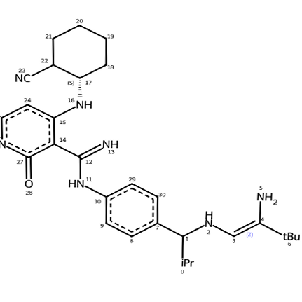 CC(C)C(N/C=C(\N)C(C)(C)C)c1ccc(NC(=N)c2c(N[C@H]3CCCCC3C#N)cc[nH]c2=O)cc1